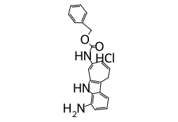 Cl.Nc1cccc2c3c([nH]c12)C=C(NC(=O)OCc1ccccc1)C=CC3